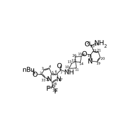 CCCCOc1ccc2c(C(=O)NC3CC4(C3)CC(Oc3ncccc3C(N)=O)C4)nc(C(F)F)n2c1